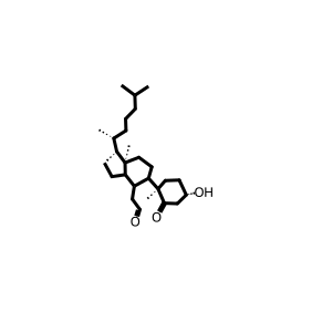 CC(C)CCC[C@@H](C)[C@H]1CCC2C(CC=O)C([C@@]3(C)CC[C@H](O)CC3=O)CC[C@@]21C